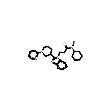 CCN(C(=O)CCn1c(C2CCCN(c3ccccn3)C2)nc2ccccc21)C1CCCCC1